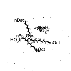 CCCCCCCCC=CCCCCCCC(CCC)C(=O)O.CCCCCCCCC=CCCCCCCCC(=O)OC(=O)CCCCCCCCCCCCCCCCC.O=S(=O)(O)O.O=S(=O)(O)O.[NaH].[NaH]